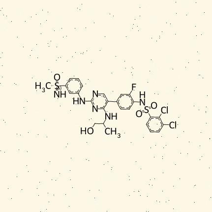 CC(CO)Nc1nc(Nc2cccc([S@@](C)(=N)=O)c2)ncc1-c1ccc(NS(=O)(=O)c2cccc(Cl)c2Cl)c(F)c1